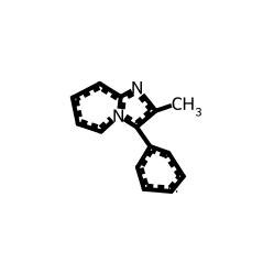 Cc1nc2ccccn2c1-c1cc[c]cc1